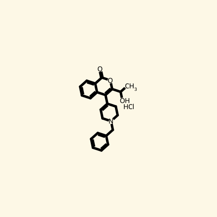 CC(O)c1oc(=O)c2ccccc2c1C1=CCN(Cc2ccccc2)CC1.Cl